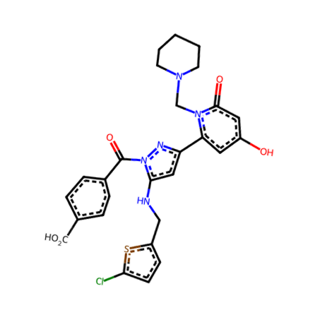 O=C(O)c1ccc(C(=O)n2nc(-c3cc(O)cc(=O)n3CN3CCCCC3)cc2NCc2ccc(Cl)s2)cc1